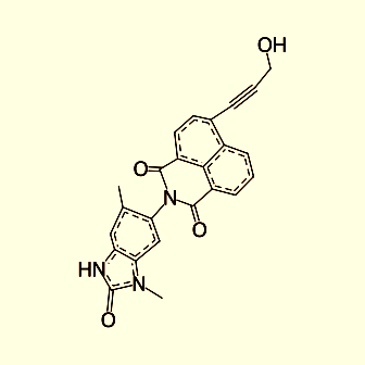 Cc1cc2[nH]c(=O)n(C)c2cc1N1C(=O)c2cccc3c(C#CCO)ccc(c23)C1=O